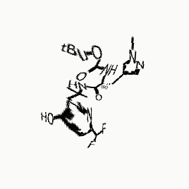 Cn1cc(C[C@@H](NC(=O)OC(C)(C)C)C(=O)NC(C)(C)Cn2nc(C(F)F)cc2O)cn1